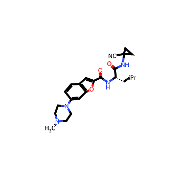 CC(C)C[C@H](NC(=O)c1cc2ccc(N3CCN(C)CC3)cc2o1)C(=O)NC1(C#N)CC1